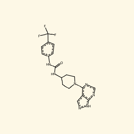 O=C(Nc1ccc(C(F)(F)F)cc1)NC1CCN(c2ncnc3[nH]ncc23)CC1